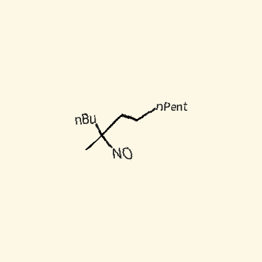 CCCCCCCC(C)(CCCC)N=O